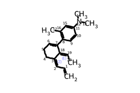 C=C/C=C1/CCC=C(c2ccc(N(C)C)cc2C)/C1=C/C